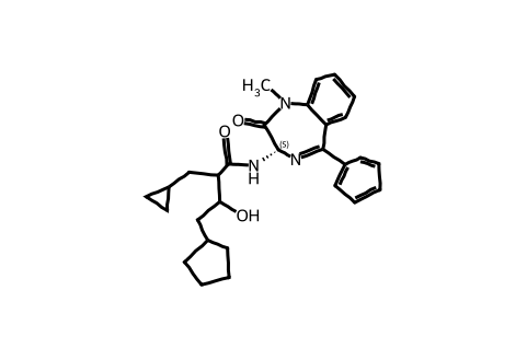 CN1C(=O)[C@@H](NC(=O)C(CC2CC2)C(O)CC2CCCC2)N=C(c2ccccc2)c2ccccc21